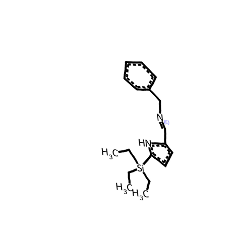 CC[Si](CC)(CC)c1ccc(/C=N/Cc2ccccc2)[nH]1